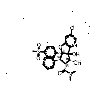 CN(C)C(=O)[C@H]1[C@@H](O)C2(O)c3ncc(Cl)cc3O[C@@]2(c2ccc(S(C)(=O)=O)cc2)[C@@H]1c1ccccc1